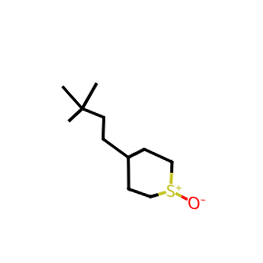 CC(C)(C)CCC1CC[S+]([O-])CC1